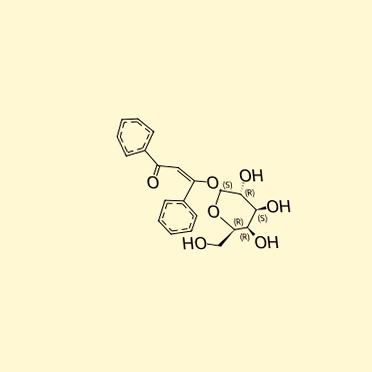 O=C(C=C(O[C@@H]1O[C@H](CO)[C@H](O)[C@H](O)[C@H]1O)c1ccccc1)c1ccccc1